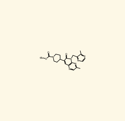 Cc1cnc2cc(C3CCN(C(=O)OC(C)(C)C)CC3)c(=O)n(Cc3nccnc3C)c2n1